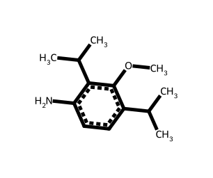 COc1c(C(C)C)ccc(N)c1C(C)C